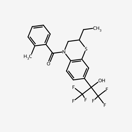 CCC1CN(C(=O)c2ccccc2C)c2ccc(C(O)(C(F)(F)F)C(F)(F)F)cc2S1